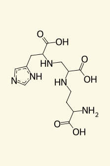 NC(CCNC(CNC(Cc1cnc[nH]1)C(=O)O)C(=O)O)C(=O)O